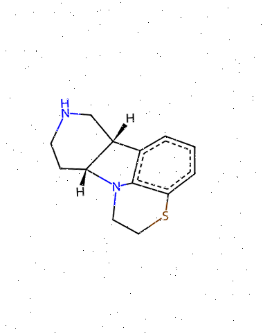 c1cc2c3c(c1)[C@H]1CNCC[C@H]1N3CCS2